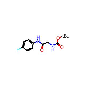 CC(C)(C)OC(=O)NCC(=O)Nc1ccc(F)cc1